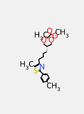 COC(=O)[C@]1(C)OC[C@H](CCCCc2nc(-c3ccc(C)cc3)sc2C)CO1